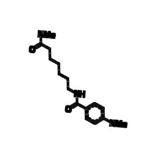 CNC(=O)CCCCCCNC(=O)c1ccc(NC)cc1